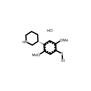 CCSc1cc(OC)c([C@H]2CCCNC2)cc1OC.Cl